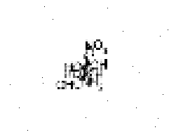 N[C@](O)(C=O)[C@@H](O)[C@H](O)[C@H](O)CO[N+](=O)[O-]